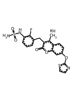 Cc1c(Cc2cccc(NS(N)(=O)=O)c2F)c(=O)oc2cc(Oc3nccs3)ccc12.[KH]